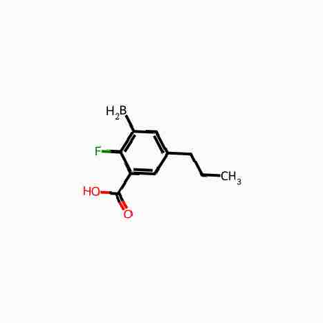 Bc1cc(CCC)cc(C(=O)O)c1F